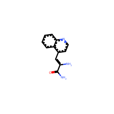 NC(=O)C(N)=Cc1ccnc2ccccc12